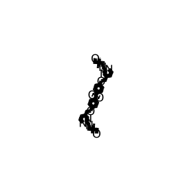 O=S(=O)(c1ccc(OCc2ccnc(N3CC4(COC4)C3)n2)cc1)c1ccc(OCc2ccnc(N3CC4(COC4)C3)n2)cc1